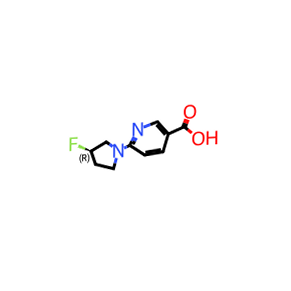 O=C(O)c1ccc(N2CC[C@@H](F)C2)nc1